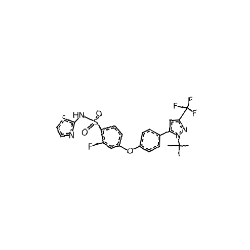 CC(C)(C)n1nc(C(F)(F)F)cc1-c1ccc(Oc2ccc(S(=O)(=O)Nc3nccs3)c(F)c2)cc1